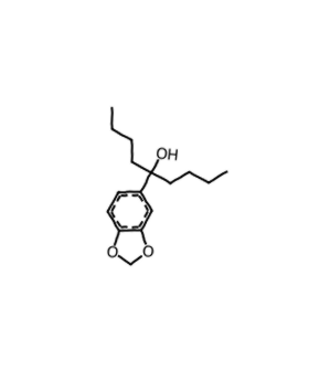 CCCCC(O)(CCCC)c1ccc2c(c1)OCO2